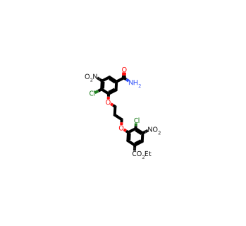 CCOC(=O)c1cc(OCCCOc2cc(C(N)=O)cc([N+](=O)[O-])c2Cl)c(Cl)c([N+](=O)[O-])c1